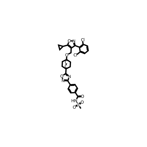 CS(=O)(=O)NC(=O)c1ccc(-c2noc(C34CCC(OCc5c(-c6c(Cl)cccc6Cl)noc5C5CC5)(CC3)CC4)n2)cc1